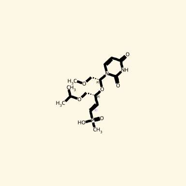 COC[C@@H](O[C@H](/C=C/P(C)(=O)O)COC(C)C)n1ccc(=O)[nH]c1=O